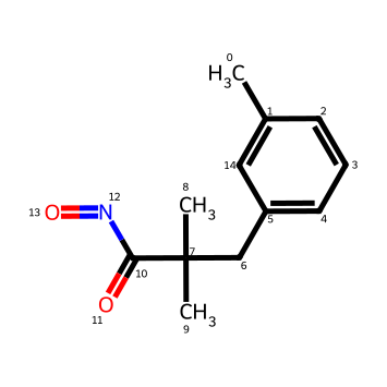 Cc1cccc(CC(C)(C)C(=O)N=O)c1